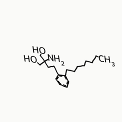 CCCCCCCCc1ccccc1CCC(N)(CO)CO